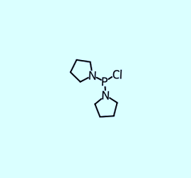 ClP(N1CCCC1)N1CCCC1